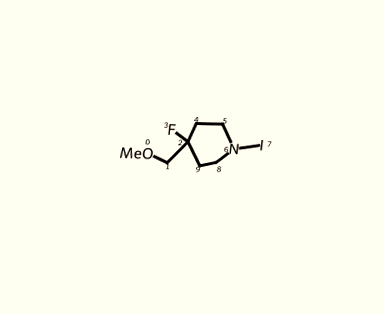 COCC1(F)CCN(I)CC1